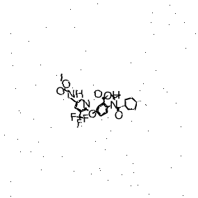 CCOC(=O)NCc1cnc(Oc2ccc(N(C(=O)[C@H]3CC[C@H](C)CC3)C(C)C)c(C(=O)O)c2)c(C(F)(F)F)c1